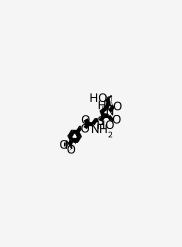 C[C@H](O)[C@H]1C(=O)N2C(C(=O)O)=C(SCC(N)C(=O)OCc3ccc([N+](=O)[O-])cc3)C[C@H]12